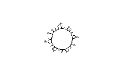 CC(C)CC1C(=O)OC(C(C)C)C(=O)N(C)C(CC(C)C)C(=O)OC(C(C)C)C(=O)N(C)C(C(C)C)C(=O)OC(C(C)C)C(=O)N(C)C(CC(C)C)C(=O)OC(C(C)C)C(=O)N1C